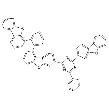 c1ccc(-c2nc(-c3ccc4c(c3)oc3ccccc34)nc(-c3ccc4c(c3)oc3cccc(-c5ccccc5-c5cccc6c5sc5ccccc56)c34)n2)cc1